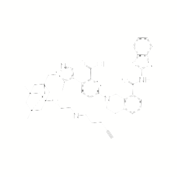 C#CCCCNCCOC12CC3(C)CC(C)(CC(Cn4ncc(-c5ccc(N6CCc7cccc(C(=O)Nc8nc9ccccc9s8)c7C6)nc5C(=O)O)c4C)(C3)C1)C2